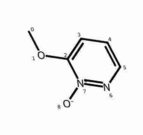 COc1cccn[n+]1[O-]